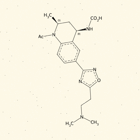 CC(=O)N1c2ccc(-c3noc(CCN(C)C)n3)cc2[C@H](NC(=O)O)C[C@@H]1C